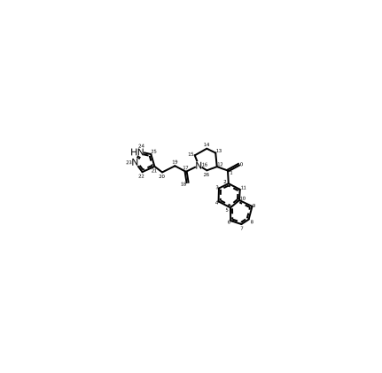 C=C(c1ccc2ccccc2c1)C1CCCN(C(=C)CCc2cn[nH]c2)C1